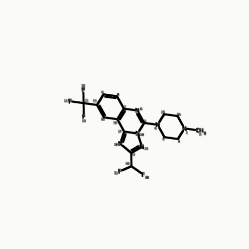 CN1CCN(c2nc3ccc(C(F)(F)F)cc3c3nc(C(F)F)nn23)CC1